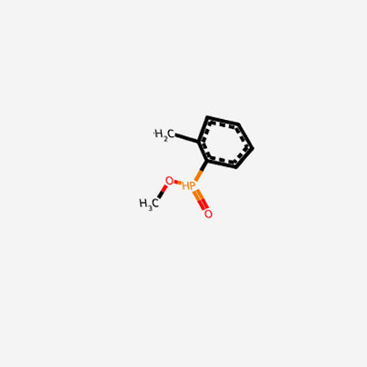 [CH2]c1ccccc1[PH](=O)OC